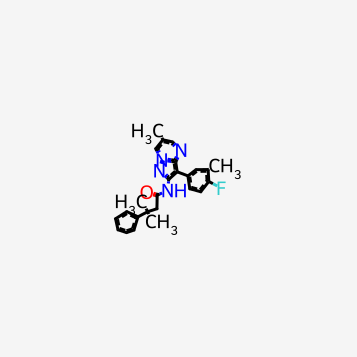 Cc1cnc2c(-c3ccc(F)c(C)c3)c(NC(=O)CC(C)(C)c3ccccc3)nn2c1